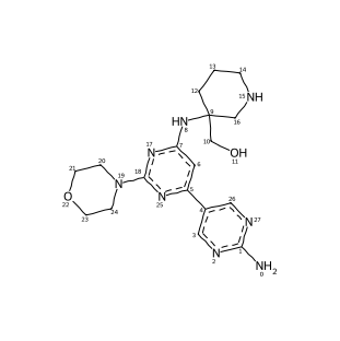 Nc1ncc(-c2cc(NC3(CO)CCCNC3)nc(N3CCOCC3)n2)cn1